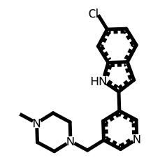 CN1CCN(Cc2cncc(-c3cc4ccc(Cl)cc4[nH]3)c2)CC1